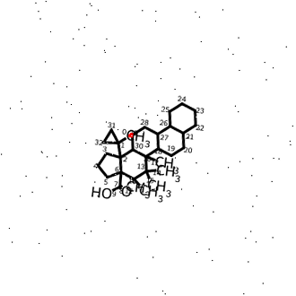 CC1(C23CCCC2(C(=O)O)C(C)(C)C(C)(C)C2(C)C4CCC5CCCCC5C4CCC23)CC1